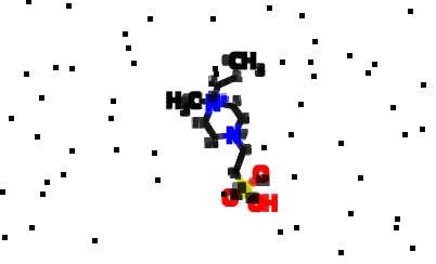 CCC[N+]1(C)CCN(CCS(=O)(=O)O)CC1